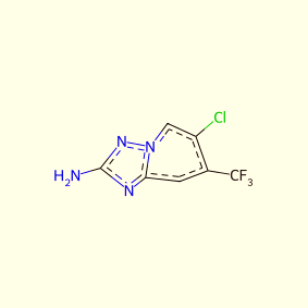 Nc1nc2cc(C(F)(F)F)c(Cl)cn2n1